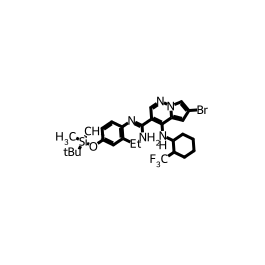 CCc1cc(O[Si](C)(C)C(C)(C)C)ccc1/N=C(\N)c1cnn2cc(Br)cc2c1NC1CCCCC1C(F)(F)F